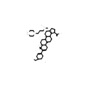 C=C(C)C1CC[C@]2(CN(CCCN3CCS(=O)(=O)CC3)C(C)=O)CC[C@]3(C)[C@H](CC[C@@H]4[C@@]5(C)CC=C(C6=CC[C@@](CF)(C(=O)O)CC6)C(C)(C)[C@@H]5CC[C@]43C)[C@@H]12